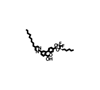 CCCCCCCCCc1cnc(-c2ccc(C(=O)O)c(-c3ccc(C(=O)O[C@@H](CCCCCC)C(F)(F)F)cc3)c2)nc1